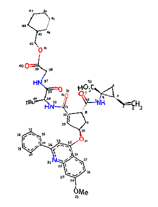 C=C[C@@H]1C[C@]1(NC(=O)[C@@H]1C[C@@H](Oc2cc(-c3ccccc3)nc3cc(OC)ccc23)C=C1C(=O)N[C@H](C(=O)NCC(=O)OCC1CCCCC1)C(C)(C)C)C(=O)O